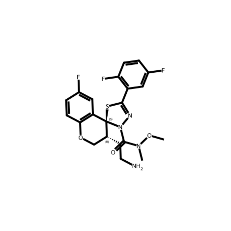 CON(C)C(=O)N1N=C(c2cc(F)ccc2F)S[C@@]12c1cc(F)ccc1OC[C@H]2CCN